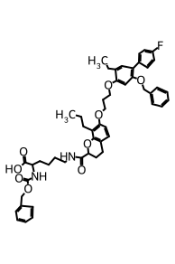 CCCc1c(OCCCOc2cc(OCc3ccccc3)c(-c3ccc(F)cc3)cc2CC)ccc2c1OC(C(=O)NCCCCC(NC(=O)OCc1ccccc1)C(=O)O)CC2